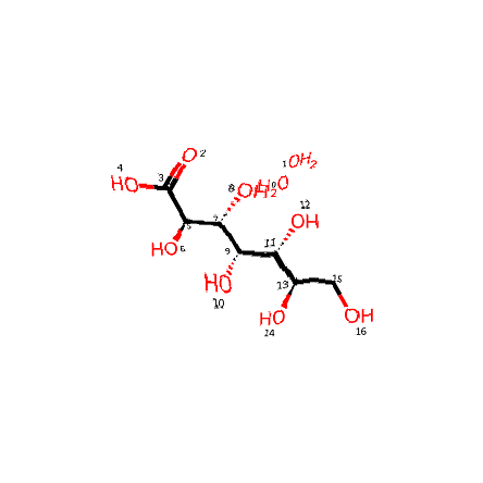 O.O.O=C(O)[C@H](O)[C@H](O)[C@@H](O)[C@H](O)[C@H](O)CO